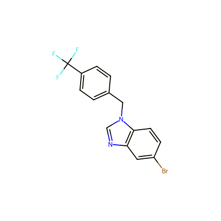 FC(F)(F)c1ccc(Cn2cnc3cc(Br)ccc32)cc1